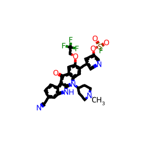 CN1CCC(n2c3cc(-c4cncc(OS(=O)(=O)F)c4)c(OCC(F)(F)F)cc3c(=O)c3c4ccc(C#N)cc4[nH]c32)CC1